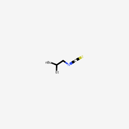 CCCCC(CC)CN=C=S